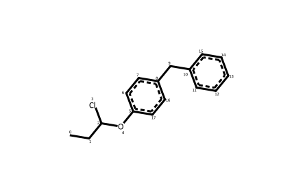 CCC(Cl)Oc1ccc(Cc2ccccc2)cc1